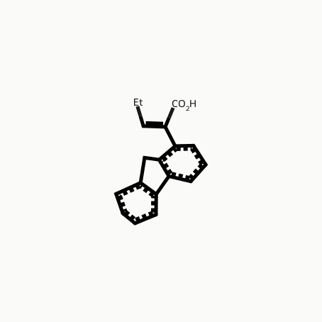 CCC=C(C(=O)O)c1cccc2c1Cc1ccccc1-2